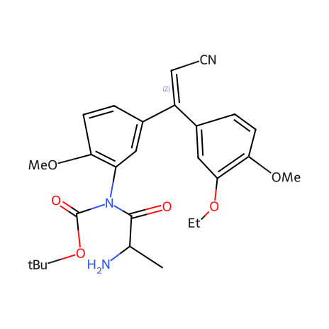 CCOc1cc(/C(=C\C#N)c2ccc(OC)c(N(C(=O)OC(C)(C)C)C(=O)C(C)N)c2)ccc1OC